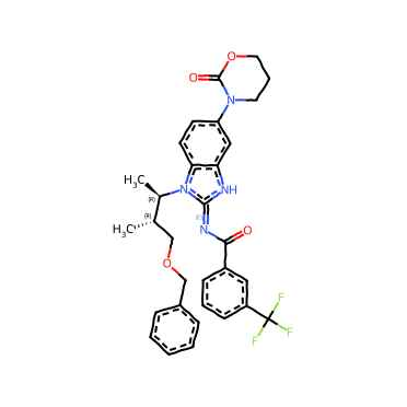 C[C@H]([C@@H](C)COCc1ccccc1)n1/c(=N/C(=O)c2cccc(C(F)(F)F)c2)[nH]c2cc(N3CCCOC3=O)ccc21